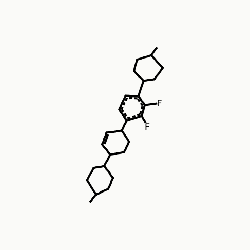 CC1CCC(c2ccc(C3C=CC(C4CCC(C)CC4)CC3)c(F)c2F)CC1